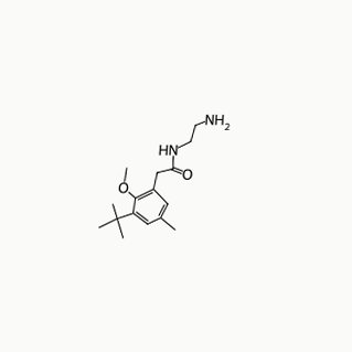 COc1c(CC(=O)NCCN)cc(C)cc1C(C)(C)C